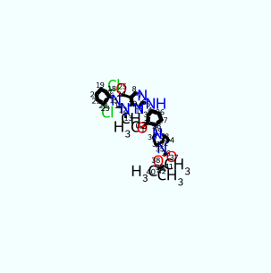 COc1cc(Nc2ncc3c(n2)N(C)CN(c2c(Cl)cccc2Cl)C3=O)ccc1N1CC2CC1CN2C(=O)OC(C)(C)C